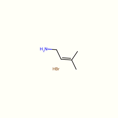 Br.CC(C)=CCN